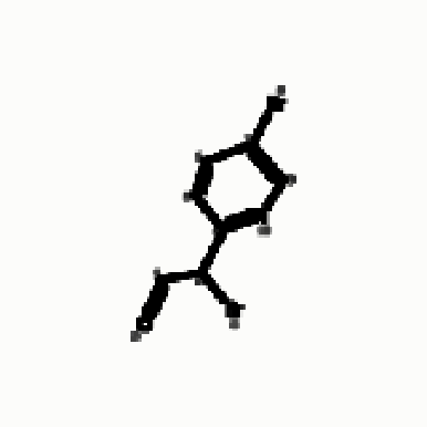 O=CC(Br)c1ccc(Br)cn1